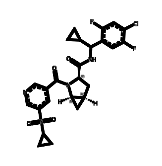 O=C(NC(c1cc(F)c(Cl)cc1F)C1CC1)[C@H]1C[C@H]2C[C@H]2N1C(=O)c1cncc(S(=O)(=O)C2CC2)c1